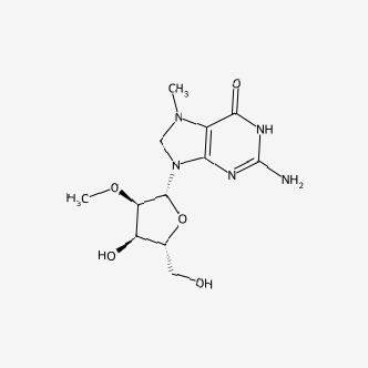 CO[C@@H]1[C@H](O)[C@@H](CO)O[C@H]1N1CN(C)c2c1nc(N)[nH]c2=O